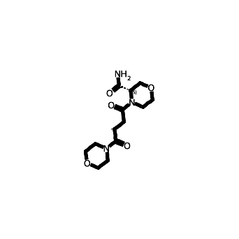 NC(=O)[C@@H]1COCCN1C(=O)C[CH]C(=O)N1CCOCC1